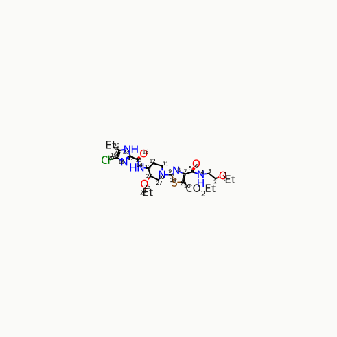 CCOCCNC(=O)c1nc(N2CCC(NC(=O)c3nc(Cl)c(CC)[nH]3)C(OCC)C2)sc1C(=O)OCC